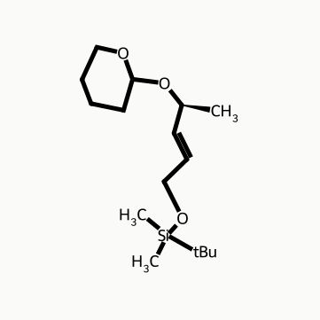 C[C@@H](C=CCO[Si](C)(C)C(C)(C)C)OC1CCCCO1